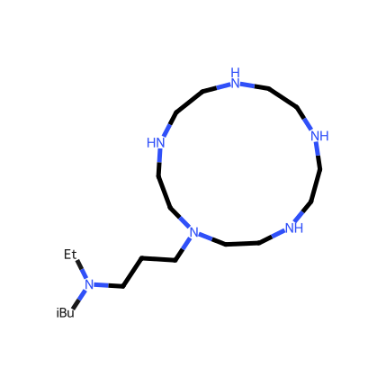 CCC(C)N(CC)CCCN1CCNCCNCCNCCNCC1